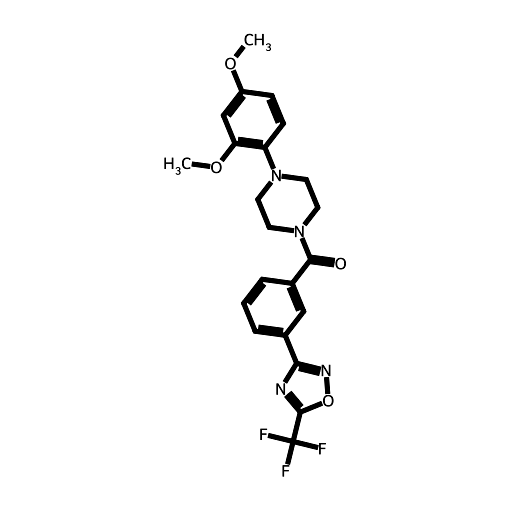 COc1ccc(N2CCN(C(=O)c3cccc(-c4noc(C(F)(F)F)n4)c3)CC2)c(OC)c1